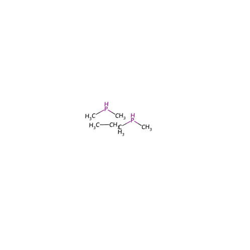 CC.CPC.CPC